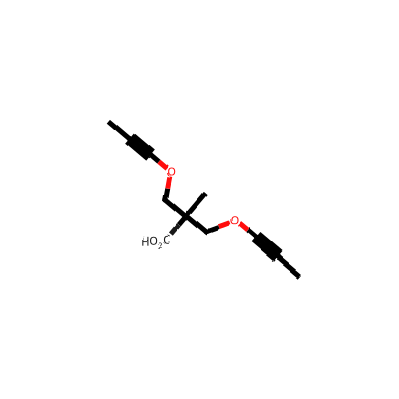 CC#COCC(C)(COC#CC)C(=O)O